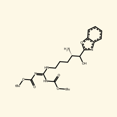 CC(C)(C)OC(=O)/N=C(/NCCC[C@H](N)C(O)c1nc2ccccc2o1)NC(=O)OC(C)(C)C